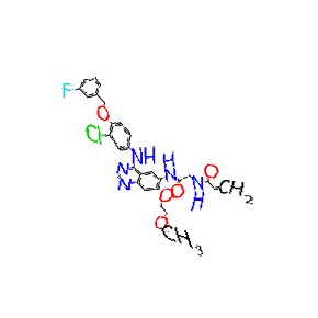 C=CC(=O)NCC(=O)Nc1cc2c(Nc3ccc(OCc4cccc(F)c4)c(Cl)c3)ncnc2cc1OCCOC